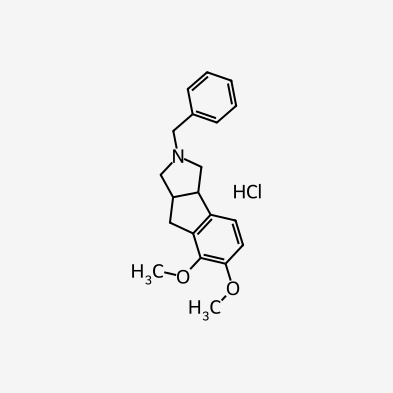 COc1ccc2c(c1OC)CC1CN(Cc3ccccc3)CC21.Cl